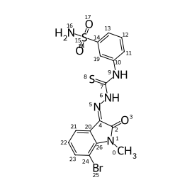 CN1C(=O)C(=NNC(=S)Nc2cccc(S(N)(=O)=O)c2)c2cccc(Br)c21